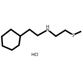 CSCCNCCC1CCCCC1.Cl